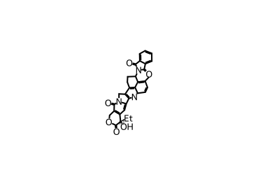 CC[C@@]1(O)C(=O)OCc2c1cc1n(c2=O)Cc2c-1nc1ccc(C)c3c1c2CCC3N1C(=O)c2ccccc2C1=O